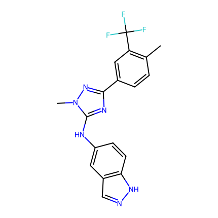 Cc1ccc(-c2nc(Nc3ccc4[nH]ncc4c3)n(C)n2)cc1C(F)(F)F